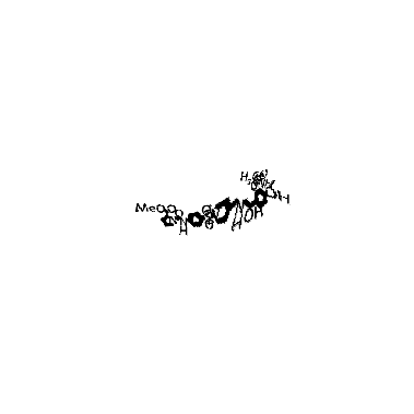 COC(=O)[C@@H]1CCCN1C(=O)Nc1ccc(S(=O)(=O)N2CCC(CNC[C@@H](O)c3ccc(O)c(NS(C)(=O)=O)c3)CC2)cc1